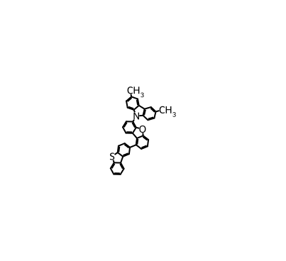 Cc1ccc2c(c1)c1cc(C)ccc1n2-c1cccc2c1oc1cccc(-c3ccc4sc5ccccc5c4c3)c12